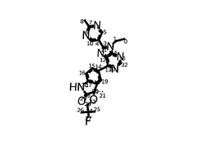 CCn1c(-c2cnc(C)nc2)nc2c(-c3ccc4c(c3)[C@@](C)(OCC(C)(C)F)C(=O)N4)ncnc21